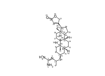 CC(N=C(N)N)S[C@H]1CC[C@@]2(C)[C@H](CC[C@@H]3[C@@H]2CC[C@]2(C)[C@@H](C4=CC(=O)OC4)CC[C@@H]32)C1